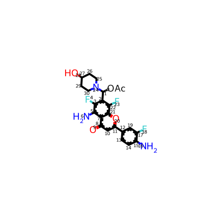 CC(=O)OC(c1c(F)c(N)c2c(=O)cc(-c3ccc(N)c(F)c3)oc2c1F)N1CCC(O)CC1